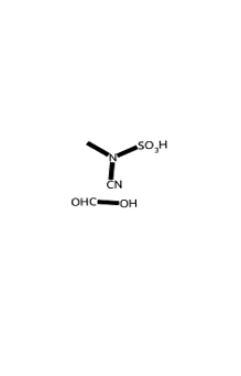 CN(C#N)S(=O)(=O)O.O=CO